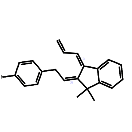 C=C/C=C1\C(=C/Cc2ccc(I)cc2)C(C)(C)c2ccccc21